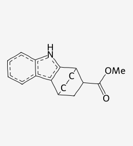 COC(=O)C1CC2CCC1c1[nH]c3ccccc3c12